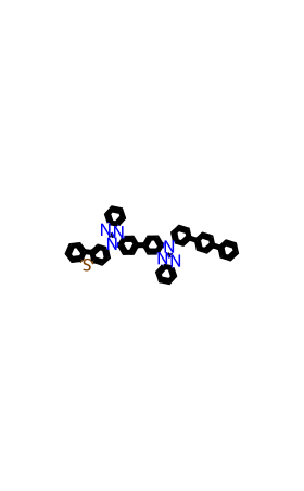 c1ccc(-c2ccc(-c3cccc(-n4c5ccc(-c6ccc7c(c6)n6c8ccccc8nc6n7-c6ccc7sc8ccccc8c7c6)cc5n5c6ccccc6nc45)c3)cc2)cc1